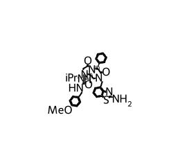 COc1ccc(CNC(=O)N(C(C)C)N2CC(=O)N3[C@@H](c4ccccc4)C(=O)N(Cc4cccc5sc(N)nc45)C[C@@H]32)cc1